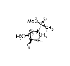 COP(C)(=S)N(C)SN(C)C(=O)F